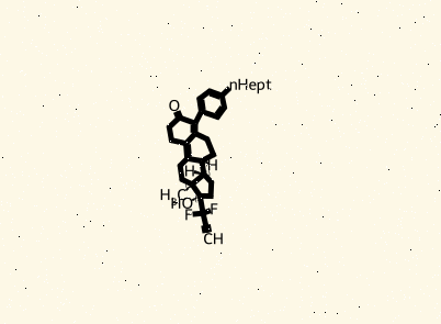 C#CC(F)(F)[C@]1(O)CC[C@H]2[C@@H]3CCC4=C(c5ccc(CCCCCCC)cc5)C(=O)CCC4=C3CC[C@@]21C